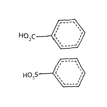 O=C(O)c1ccccc1.O=S(=O)(O)c1ccccc1